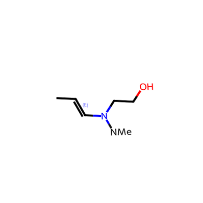 C/C=C/N(CCO)NC